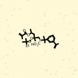 C=C(C)C(=O)OC(C)CC(C)(CN(C(=O)O)C(C)(C)c1cccc(C(=C)C)c1)OOC(C)(C)CC